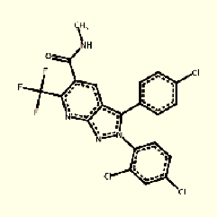 CNC(=O)c1cc2c(-c3ccc(Cl)cc3)n(-c3ccc(Cl)cc3Cl)nc2nc1C(F)(F)F